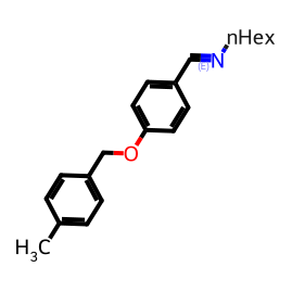 CCCCCC/N=C/c1ccc(OCc2ccc(C)cc2)cc1